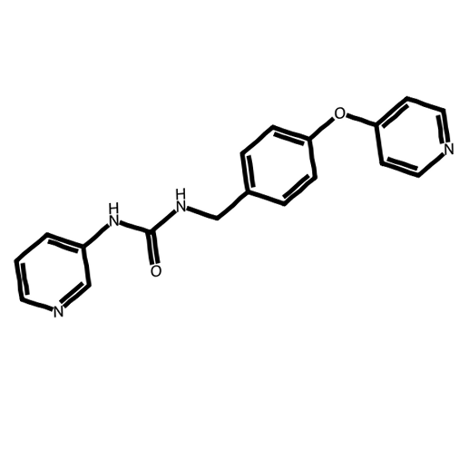 O=C(NCc1ccc(Oc2ccncc2)cc1)Nc1cccnc1